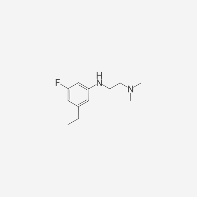 CCc1cc(F)cc(NCCN(C)C)c1